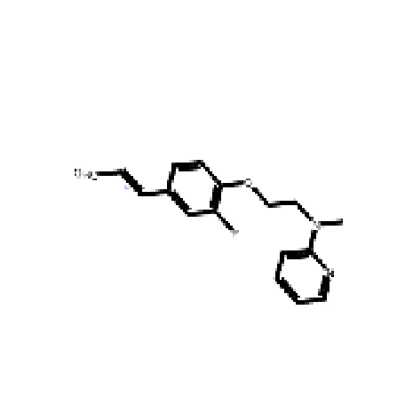 CN(CCOc1ccc(/C=C/C=O)cc1F)c1ccccn1